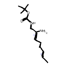 C/C=C/CC/C=C(\N)CNC(=O)OC(C)(C)C